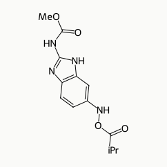 COC(=O)Nc1nc2ccc(NOC(=O)C(C)C)cc2[nH]1